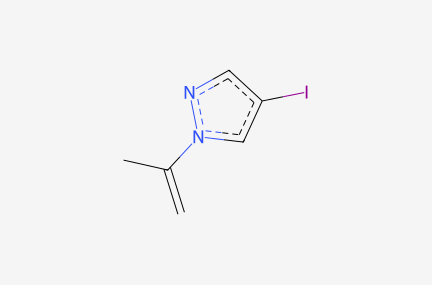 C=C(C)n1cc(I)cn1